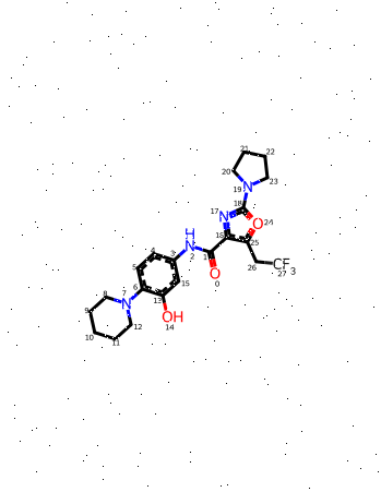 O=C(Nc1ccc(N2CCCCC2)c(O)c1)c1nc(N2CCCC2)oc1CC(F)(F)F